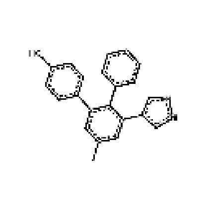 Cc1cc(-c2ccc(O)cc2)c(-c2ccccc2)c(-c2cn[nH]c2)c1